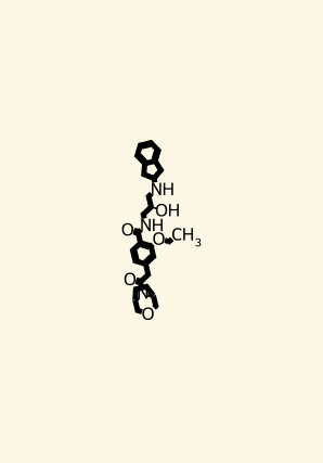 CCOc1cc(CC(=O)N2C3CCC2COC3)ccc1C(=O)NC[C@@H](O)CNC1Cc2ccccc2C1